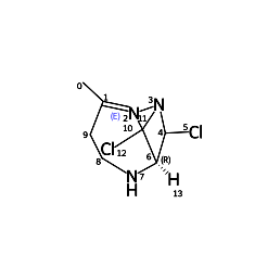 C/C1=N\N2C(Cl)[C@@H](NCC1)C2(C)Cl